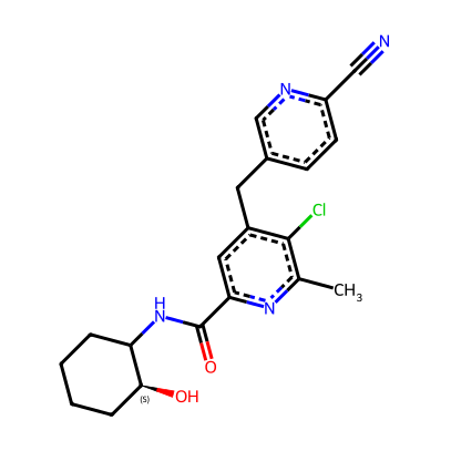 Cc1nc(C(=O)NC2CCCC[C@@H]2O)cc(Cc2ccc(C#N)nc2)c1Cl